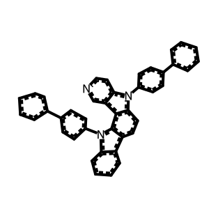 c1ccc(-c2ccc(-n3c4ccncc4c4c3ccc3c5ccccc5n(-c5ccc(-c6ccccc6)cc5)c34)cc2)cc1